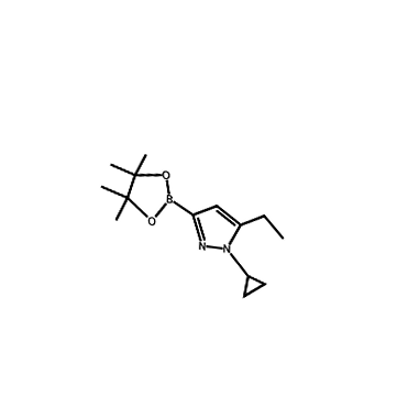 CCc1cc(B2OC(C)(C)C(C)(C)O2)nn1C1CC1